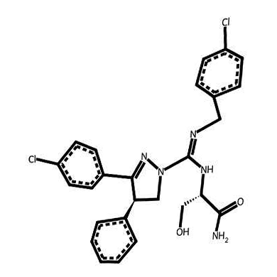 NC(=O)[C@H](CO)N/C(=N\Cc1ccc(Cl)cc1)N1C[C@@H](c2ccccc2)C(c2ccc(Cl)cc2)=N1